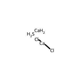 S.[CaH2].[Cl][Ca][Cl]